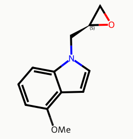 COc1cccc2c1ccn2C[C@H]1CO1